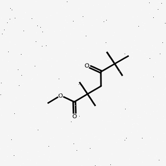 COC(=O)C(C)(C)CC(=O)C(C)(C)C